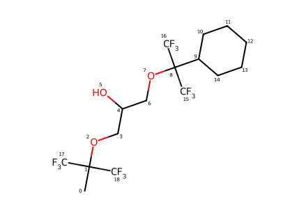 CC(OCC(O)COC(C1CCCCC1)(C(F)(F)F)C(F)(F)F)(C(F)(F)F)C(F)(F)F